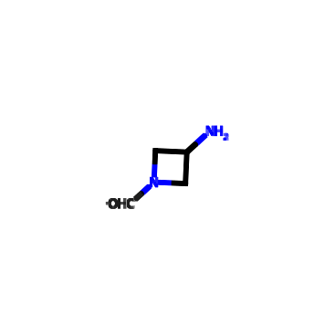 NC1CN([C]=O)C1